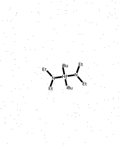 CC[CH](C)[Hf]([CH](C)CC)([N](CC)CC)[N](CC)CC